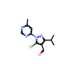 Cc1cc(-n2nc(C(C)C)c(C=O)c2Cl)ncn1